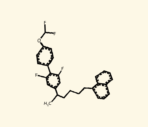 CC(CCCCc1cccc2ccccc12)c1cc(F)c(-c2ccc(OC(F)F)cc2)c(F)c1